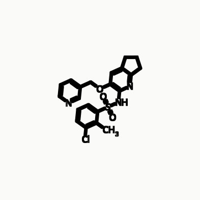 Cc1c(Cl)cccc1S(=O)(=O)Nc1nc2c(cc1OCc1cccnc1)CCC2